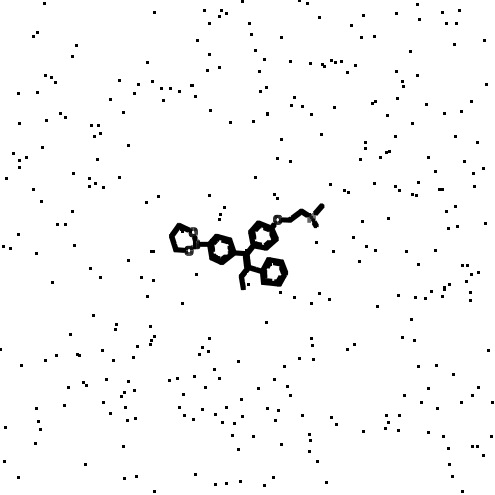 CCC(=C(c1ccc(OCCN(C)C)cc1)c1ccc(B2OCCCO2)cc1)c1ccccc1